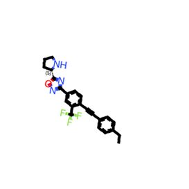 CCc1ccc(C#Cc2ccc(-c3noc([C@@H]4CCCN4)n3)cc2C(F)(F)F)cc1